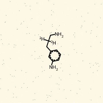 [2H]C([2H])(CN)Cc1cccc(N)c1